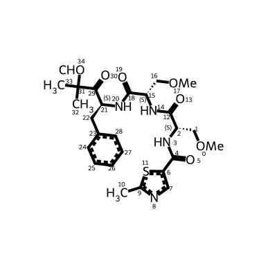 COC[C@H](NC(=O)c1cnc(C)s1)C(=O)N[C@@H](COC)C(=O)N[C@@H](Cc1ccccc1)C(=O)C(C)(C)C=O